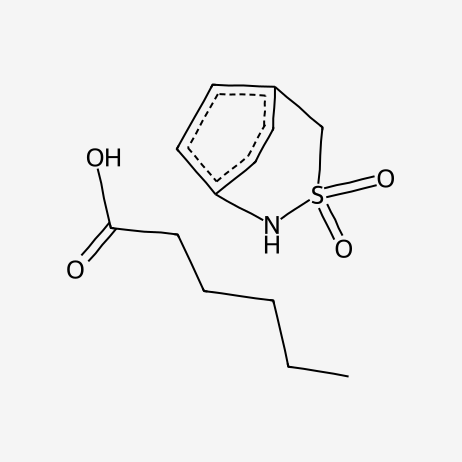 CCCCCC(=O)O.O=S1(=O)Cc2ccc(cc2)N1